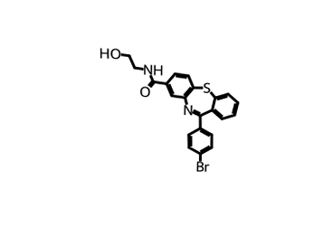 O=C(NCCO)c1ccc2c(c1)N=C(c1ccc(Br)cc1)c1ccccc1S2